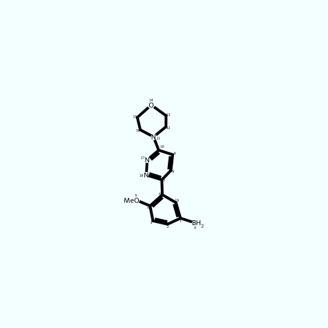 Bc1ccc(OC)c(-c2ccc(N3CCOCC3)nn2)c1